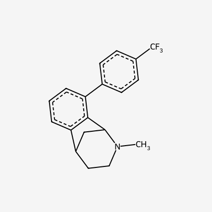 CN1CCC2CC1c1c(-c3ccc(C(F)(F)F)cc3)cccc12